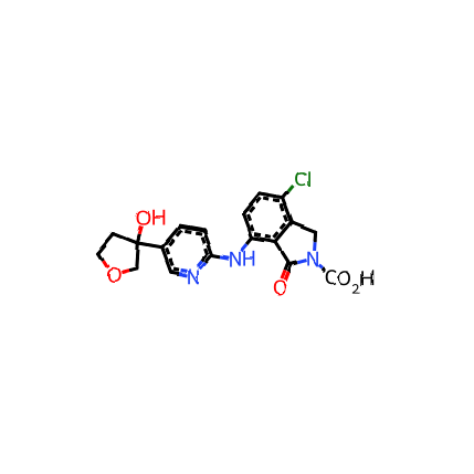 O=C(O)N1Cc2c(Cl)ccc(Nc3ccc(C4(O)CCOC4)cn3)c2C1=O